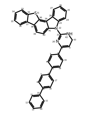 C1=C(c2ccc(-c3ccc(-c4ccccc4)cc3)cc2)N=C(n2c3ccccc3c3c4sc5ccccc5c4ccc32)NC1